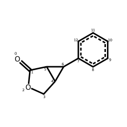 O=C1OCC2C1C2c1ccccc1